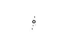 O=C(Nc1ccc(OCCO)cc1)OCCO